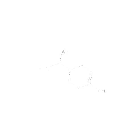 [CH2]CCCC(C)C1CC=C(C)CC1